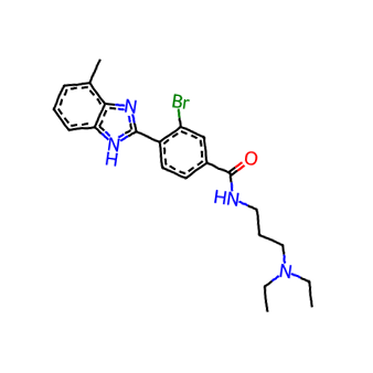 CCN(CC)CCCNC(=O)c1ccc(-c2nc3c(C)cccc3[nH]2)c(Br)c1